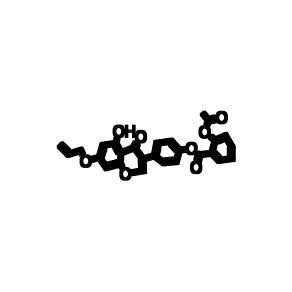 C=CCOc1cc(O)c2c(=O)c(-c3ccc(OC(=O)c4ccccc4OC(C)=O)cc3)coc2c1